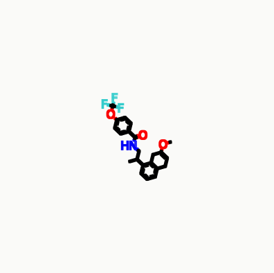 COC1=CCc2cccc(C(C)CNC(=O)c3ccc(OC(F)(F)F)cc3)c2C1